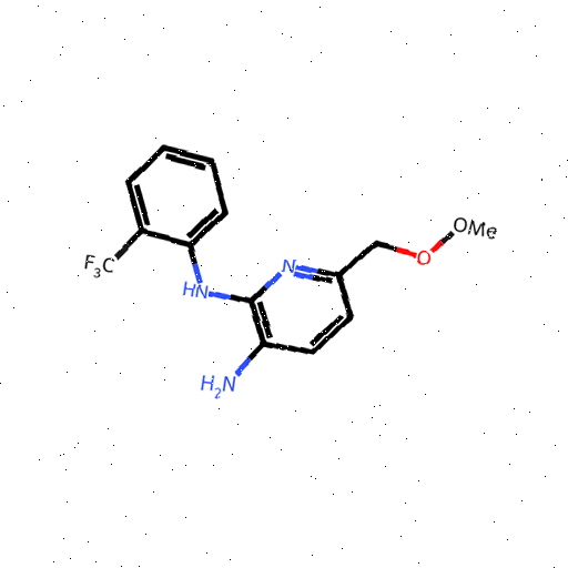 COOCc1ccc(N)c(Nc2ccccc2C(F)(F)F)n1